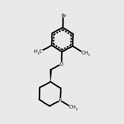 Cc1cc(Br)cc(C)c1OC[C@@H]1CCCN(C)C1